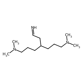 CN(C)CCCC(CC=N)CCCN(C)C